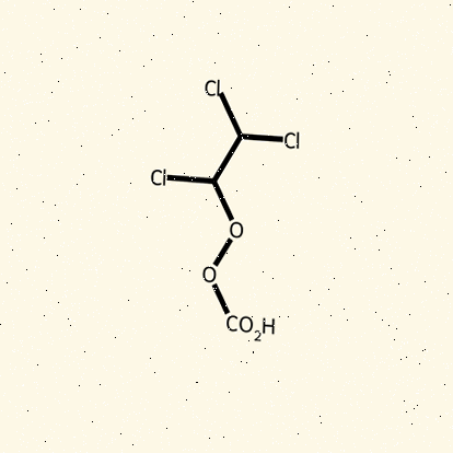 O=C(O)OOC(Cl)C(Cl)Cl